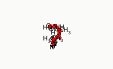 C[C@@H]1CN(CCOc2ccc(N3C(=S)N(c4ccc(C#N)c(C(F)(F)F)c4)C(=O)C3(C)C)cc2C2CC2)CCN1CC(=O)Nc1cccc(NC2CCC(=O)NC2=O)c1